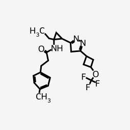 CCC1(NC(=O)CCc2ccc(C)cc2)CC1C1=NN=C(C2CC(OC(F)(F)F)C2)C1